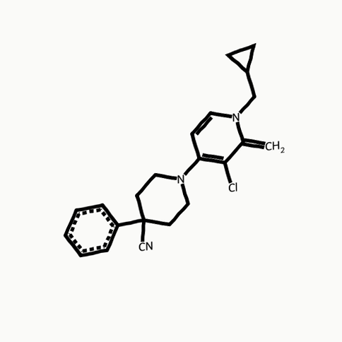 C=C1C(Cl)=C(N2CCC(C#N)(c3ccccc3)CC2)C=CN1CC1CC1